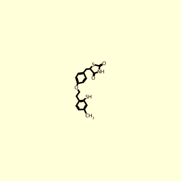 Cc1ccc(CCOc2ccc(CC3SC(=O)NC3=O)cc2)c(S)c1